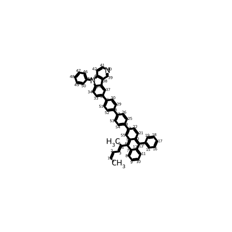 C/C=C\C=C(/C)c1c2ccccc2c(-c2ccccc2)c2ccc(-c3ccc(-c4ccc(-c5ccc6c(c5)c5cnccc5n6-c5ccccc5)cc4)cc3)cc12